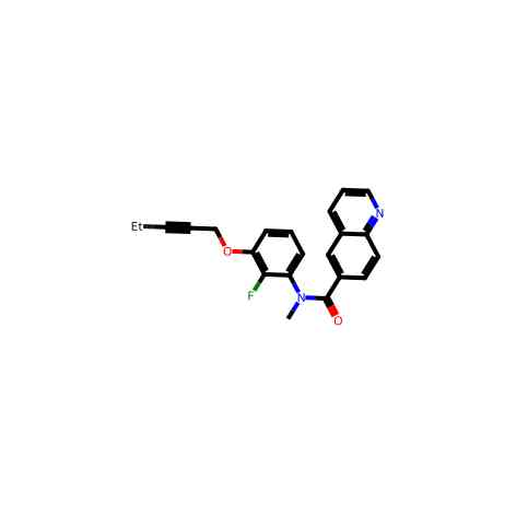 CCC#CCOc1cccc(N(C)C(=O)c2ccc3ncccc3c2)c1F